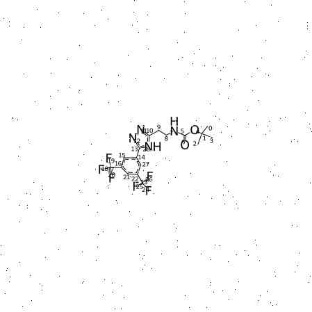 CC(C)(C)OC(=O)NCCc1nnc(-c2cc(C(F)(F)F)cc(C(F)(F)F)c2)[nH]1